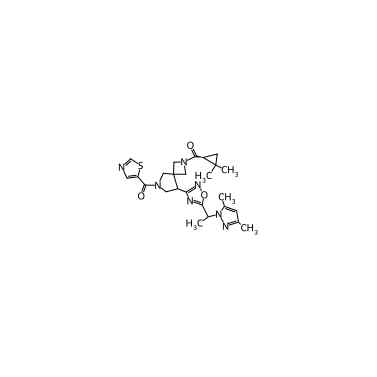 Cc1cc(C)n(C(C)c2nc(C3CN(C(=O)c4cncs4)CC34CN(C(=O)[C@H]3CC3(C)C)C4)no2)n1